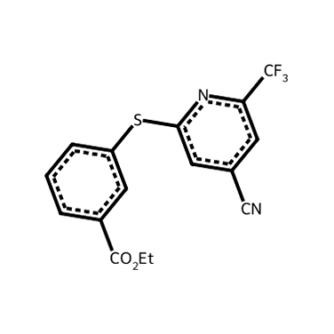 CCOC(=O)c1cccc(Sc2cc(C#N)cc(C(F)(F)F)n2)c1